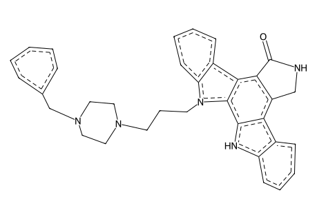 O=C1NCc2c1c1c3ccccc3n(CCCN3CCN(Cc4ccccc4)CC3)c1c1[nH]c3ccccc3c21